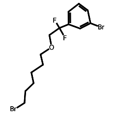 FC(F)(COCCCCCCBr)c1cccc(Br)c1